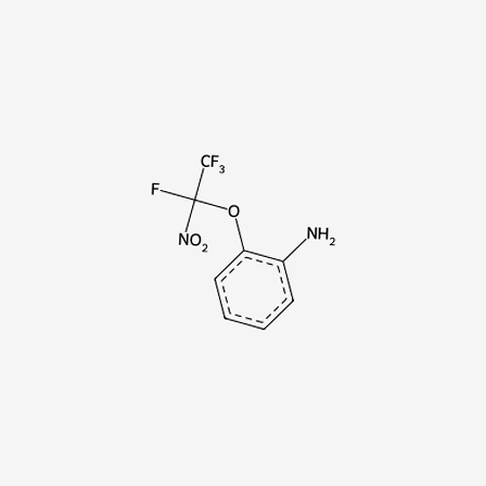 Nc1ccccc1OC(F)([N+](=O)[O-])C(F)(F)F